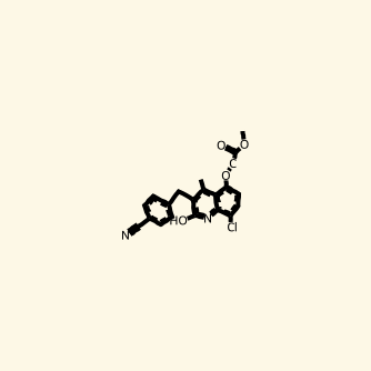 COC(=O)COc1ccc(Cl)c2nc(O)c(Cc3ccc(C#N)cc3)c(C)c12